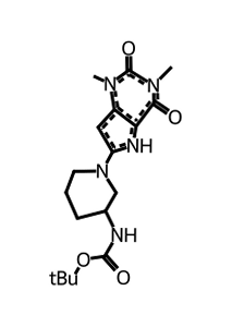 Cn1c(=O)c2[nH]c(N3CCCC(NC(=O)OC(C)(C)C)C3)cc2n(C)c1=O